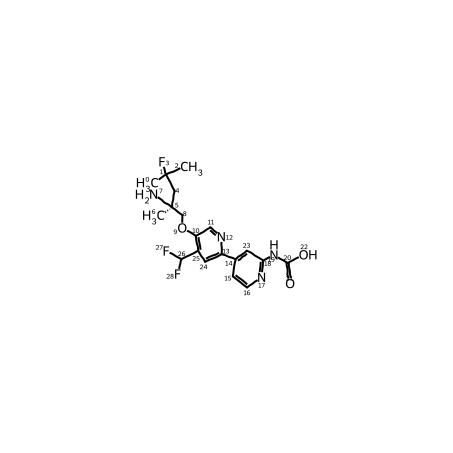 CC(C)(F)C[C@](C)(N)COc1cnc(-c2ccnc(NC(=O)O)c2)cc1C(F)F